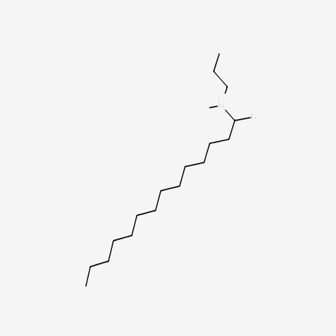 CCCCCCCCCCCCCC(N)[NH+]([O-])CCC